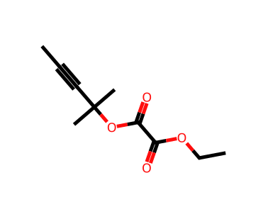 CC#CC(C)(C)OC(=O)C(=O)OCC